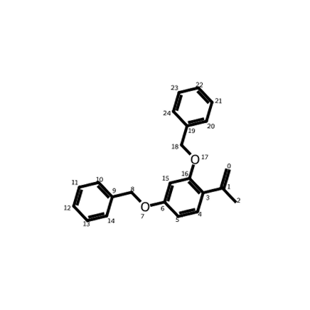 C=C(C)c1c[c]c(OCc2ccccc2)cc1OCc1ccccc1